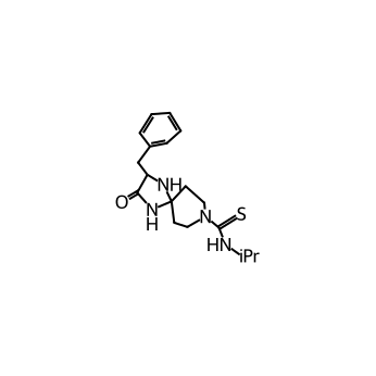 CC(C)NC(=S)N1CCC2(CC1)NC(=O)C(Cc1ccccc1)N2